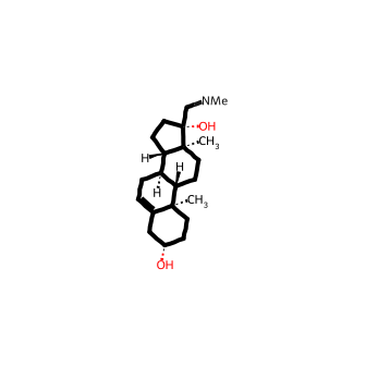 CNC[C@]1(O)CC[C@H]2[C@@H]3CC=C4C[C@@H](O)CC[C@]4(C)[C@H]3CC[C@@]21C